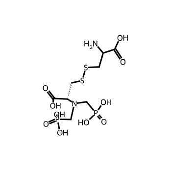 NC(CSSC[C@@H](C(=O)O)N(CP(=O)(O)O)CP(=O)(O)O)C(=O)O